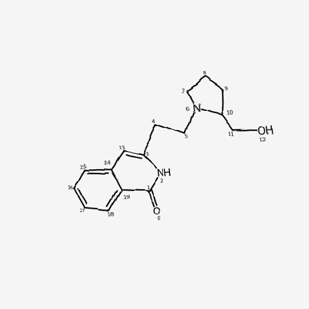 O=c1[nH]c(CCN2CCCC2CO)cc2ccccc12